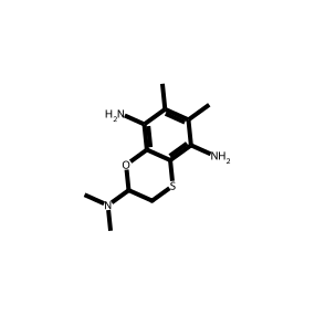 Cc1c(C)c(N)c2c(c1N)OC(N(C)C)CS2